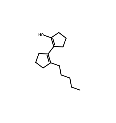 CCCCCC1=C(C2=C(O)CCC2)CCC1